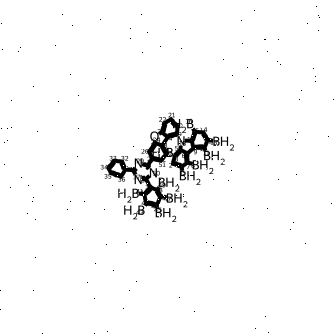 Bc1cc(B)c2c(c1B)c1c(B)c(B)cc(B)c1n2-c1cccc2oc3cc(-c4nc(-c5ccccc5)nc(-c5c(B)c(B)c(B)c(B)c5B)n4)ccc3c12